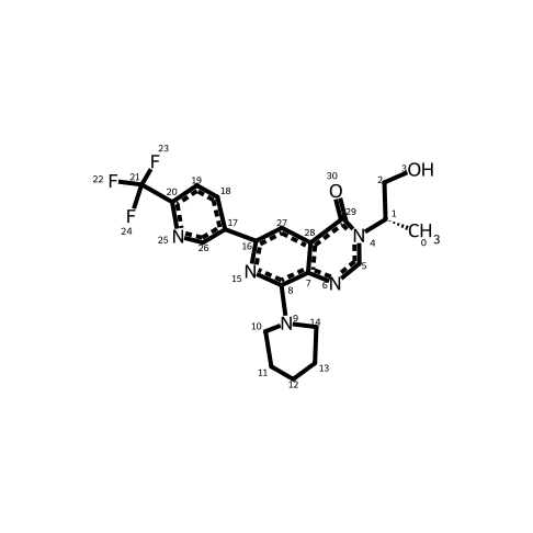 C[C@@H](CO)n1cnc2c(N3CCCCC3)nc(-c3ccc(C(F)(F)F)nc3)cc2c1=O